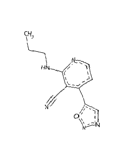 CCCNc1nccc(-c2cnno2)c1C#N